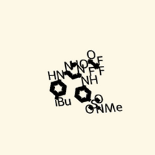 CCC(C)c1ccc(Nc2cc(Nc3cccc(S(=O)(=O)NC)c3)ncn2)cc1.O=C(O)C(F)(F)F